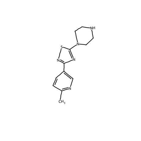 Cc1ccc(-c2nsc(N3CCNCC3)n2)cn1